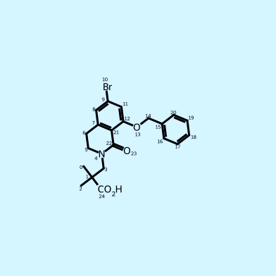 CC(C)(CN1CCc2cc(Br)cc(OCc3ccccc3)c2C1=O)C(=O)O